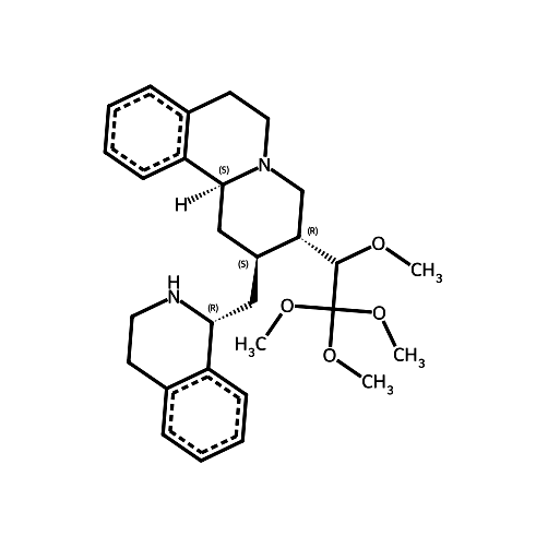 COC([C@H]1CN2CCc3ccccc3[C@@H]2C[C@@H]1C[C@H]1NCCc2ccccc21)C(OC)(OC)OC